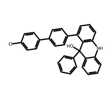 OC1(c2ccccc2)c2ccccc2Nc2cccc(-c3ccc(-c4ccc(Cl)cc4)cc3)c21